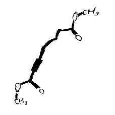 COC(=O)C#CCCCC(=O)OC